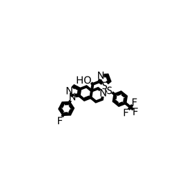 OC(c1nccs1)C12Cc3cnn(-c4ccc(F)cc4)c3C=C1CCN(Sc1ccc(C(F)(F)F)cc1)C2